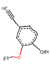 C#Cc1ccc(OC)c(OCC)c1